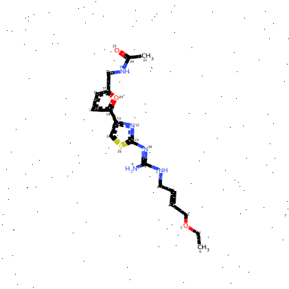 CCOC/C=C/CN/C(N)=N/c1nc(-c2ccc(CNC(C)=O)o2)cs1